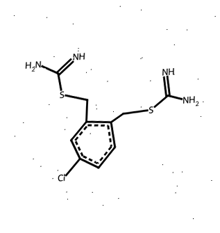 N=C(N)SCc1ccc(Cl)cc1CSC(=N)N